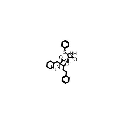 N[C@@](CC1CCCCC1)(C(=O)CCc1ccccc1)C(=O)N[C@@H]1C(=O)N[C@@H]1Sc1ccccc1